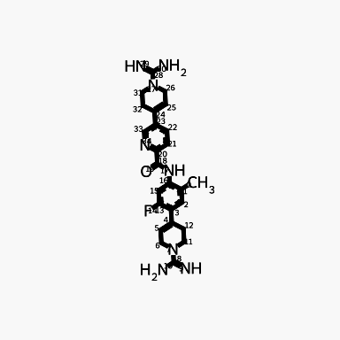 Cc1cc(C2=CCN(C(=N)N)CC2)c(F)cc1NC(=O)c1ccc(C2=CCN(C(=N)N)CC2)cn1